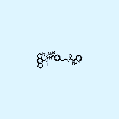 NS(=O)(=NC(=O)Nc1c2c(cc3c1CCC3)CCC2)c1ccc(CCNC(=O)c2ncn3ccccc23)cc1